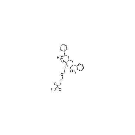 CCC(CC(CC(C)c1ccccc1)C(=O)OCCOCCCS(=O)(=O)O)c1ccccc1